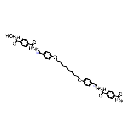 O=C(NO)c1ccc(C(=O)N/N=C/c2ccc(OCCCCCCCCOc3ccc(/C=N/NC(=O)c4ccc(C(=O)NO)cc4)cc3)cc2)cc1